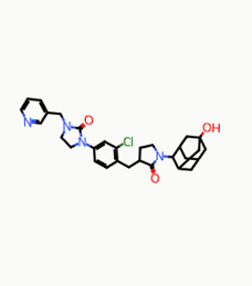 O=C1N(Cc2cccnc2)CCN1c1ccc(CC2CCN(C3C4CC5CC3CC(O)(C5)C4)C2=O)c(Cl)c1